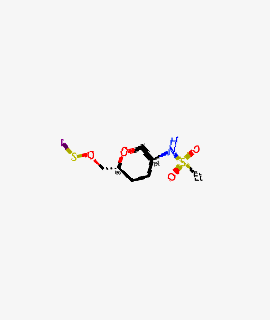 CCS(=O)(=O)N[C@H]1CC[C@H](COSI)OC1